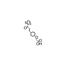 O=C(O)COc1ccc(/C=C/C(=O)c2nccs2)cc1